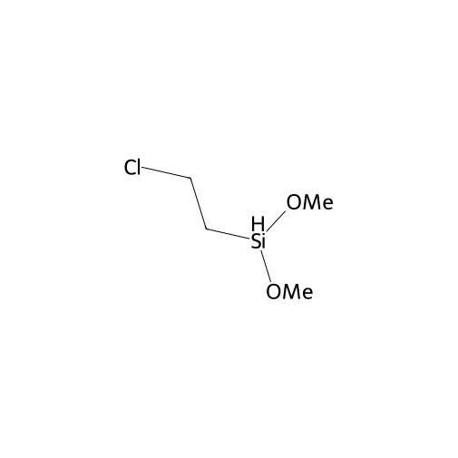 CO[SiH](CCCl)OC